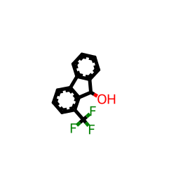 OC1c2ccccc2-c2cccc(C(F)(F)F)c21